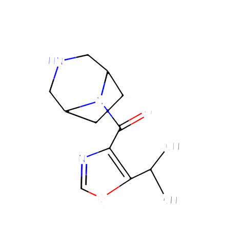 CC(C)c1ocnc1C(=O)N1C2CCC1CNC2